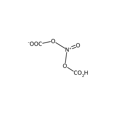 O=C([O-])O[N+](=O)OC(=O)O